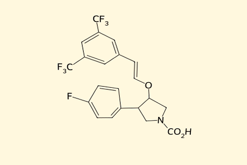 O=C(O)N1CC(OC=Cc2cc(C(F)(F)F)cc(C(F)(F)F)c2)C(c2ccc(F)cc2)C1